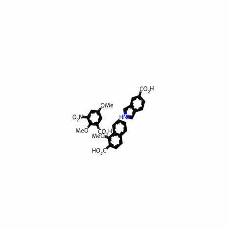 COc1c(C(=O)O)ccc2ccccc12.COc1cc(C(=O)O)c(OC)c([N+](=O)[O-])c1.O=C(O)c1ccc2c[nH]cc2c1